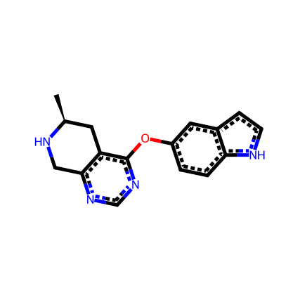 C[C@H]1Cc2c(ncnc2Oc2ccc3[nH]ccc3c2)CN1